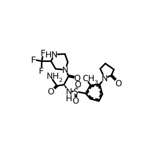 Cc1c(N2CCCC2=O)cccc1S(=O)(=O)N[C@@H](C(N)=O)C(=O)N1CCNC(C(F)(F)F)C1